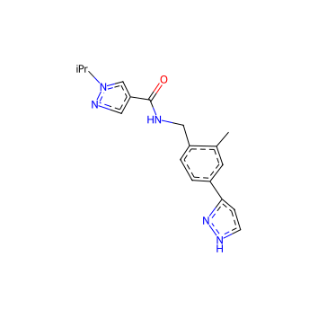 Cc1cc(-c2cc[nH]n2)ccc1CNC(=O)c1cnn(C(C)C)c1